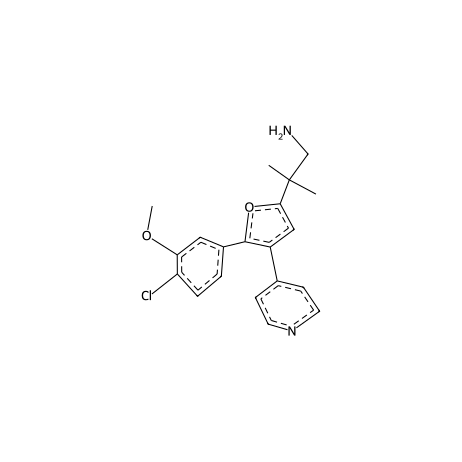 COc1cc(-c2oc(C(C)(C)CN)cc2-c2ccncc2)ccc1Cl